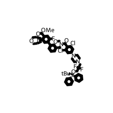 COC(=O)c1cc(F)c(-c2cccc3c2OCN(C(=O)c2c(Cl)cc(N4CCN(CC(F)(F)CO[Si](c5ccccc5)(c5ccccc5)C(C)(C)C)CC4)cc2Cl)C3)cc1N1C2CCC1COC2